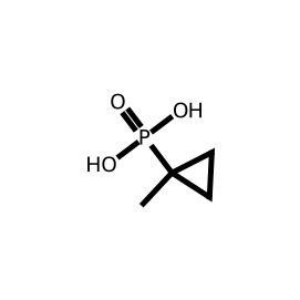 CC1(P(=O)(O)O)CC1